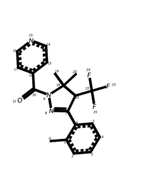 Cc1ccccc1C1=NN(C(=O)c2ccncc2)C(C)(C)C1C(F)(F)F